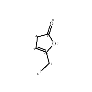 O=C1CC=C(CI)O1